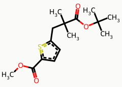 COC(=O)c1ccc(CC(C)(C)C(=O)OC(C)(C)C)s1